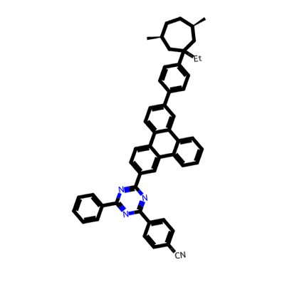 CCC1(c2ccc(-c3ccc4c5ccc(-c6nc(-c7ccccc7)nc(-c7ccc(C#N)cc7)n6)cc5c5ccccc5c4c3)cc2)C[C@H](C)CC[C@H](C)C1